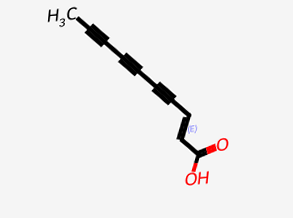 CC#CC#CC#C/C=C/C(=O)O